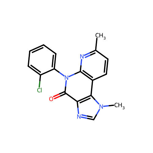 Cc1ccc2c3c(ncn3C)c(=O)n(-c3ccccc3Cl)c2n1